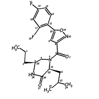 CCC[C@H]1CN(C(=O)c2cc(-c3ccc(F)cc3F)on2)[C@@H](CC(C)C)C(=O)N1